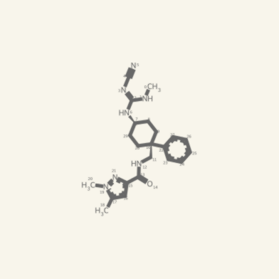 CN/C(=N\C#N)N[C@H]1CC[C@](CNC(=O)c2cc(C)n(C)n2)(c2ccccc2)CC1